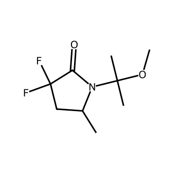 COC(C)(C)N1C(=O)C(F)(F)CC1C